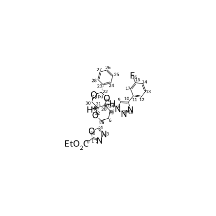 CCOC(=O)c1nnc([C@H]2C[C@@H](n3cc(-c4cccc(F)c4)nn3)[C@H]3O[C@@H](c4ccccc4)OC[C@H]3O2)o1